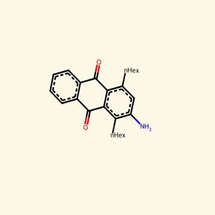 CCCCCCc1cc(N)c(CCCCCC)c2c1C(=O)c1ccccc1C2=O